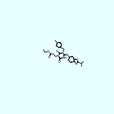 CCOC(=O)CCn1c(=O)[nH]/c(=N\c2ccc3nc(C(C)C)sc3c2)n(Cc2ccc(C)cc2)c1=O